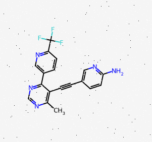 Cc1ncnc(-c2ccc(C(F)(F)F)nc2)c1C#Cc1ccc(N)nc1